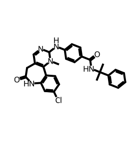 CN1C2=C(C=NC1Nc1ccc(C(=O)NC(C)(C)c3ccccc3)cc1)CC(=O)Nc1cc(Cl)ccc12